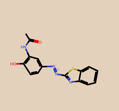 CC(=O)Nc1cc(/N=N/c2nc3ccccc3s2)ccc1O